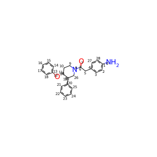 Nc1ccc(CC(=O)N2CC[C@@H](Oc3ccccc3)[C@H](c3ccccc3)C2)cc1